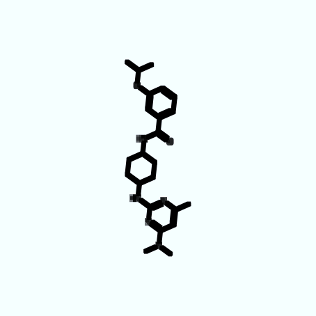 Cc1cc(N(C)C)nc(NC2CCC(NC(=O)c3cccc(OC(C)C)c3)CC2)n1